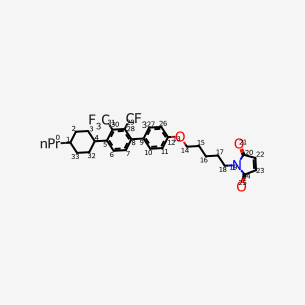 CCCC1CCC(c2ccc(-c3ccc(OCCCCCN4C(=O)C=CC4=O)cc3)c(C(F)(F)F)c2C(F)(F)F)CC1